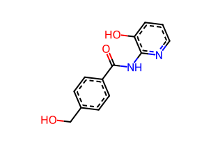 O=C(Nc1ncccc1O)c1ccc(CO)cc1